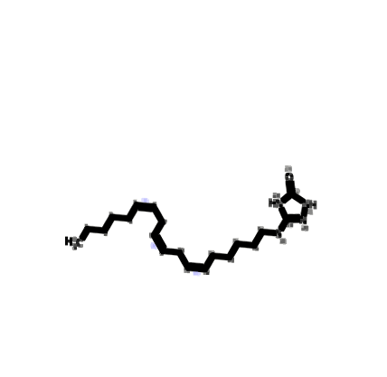 CCCCC/C=C\C/C=C\C/C=C\CCCCCSc1n[nH]c(=O)[nH]1